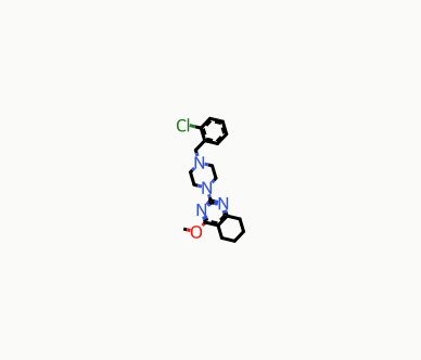 COc1nc(N2CCN(Cc3ccccc3Cl)CC2)nc2c1CCCC2